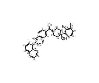 O=C(c1ccc(N[S+]([O-])c2cccc3nccnc23)c(F)c1)N1CCC(O)(c2cccc(F)c2F)CC1